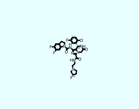 O=C1Cn2c(C(=O)NCCN3CC[C@H](F)C3)nc(NC(=O)N3CCc4cc(F)c(F)cc43)c2[C@H](c2cc(F)ccc2Cl)N1